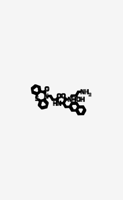 NC[C@@H](O)CNC(=O)C(Cc1ccc2ccccc2c1)NC(=O)CCN1C(=O)c2ccccc2Sc2ccccc21